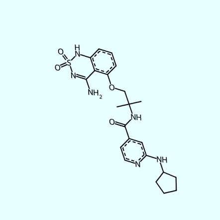 CC(C)(COc1cccc2c1C(N)=NS(=O)(=O)N2)NC(=O)c1ccnc(NC2CCCC2)c1